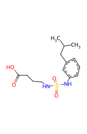 CC(C)Cc1cccc(NS(=O)(=O)NCCCC(=O)O)c1